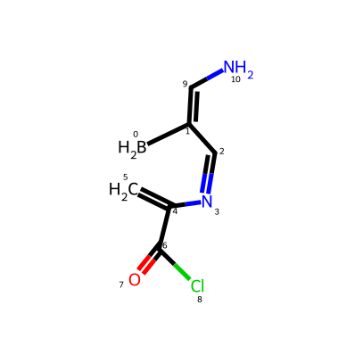 BC(/C=N\C(=C)C(=O)Cl)=C/N